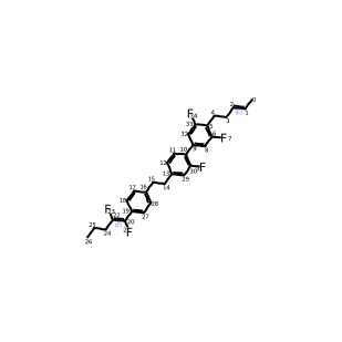 C/C=C/CCc1c(F)cc(-c2ccc(CCc3ccc(/C(F)=C(\F)CCC)cc3)cc2F)cc1F